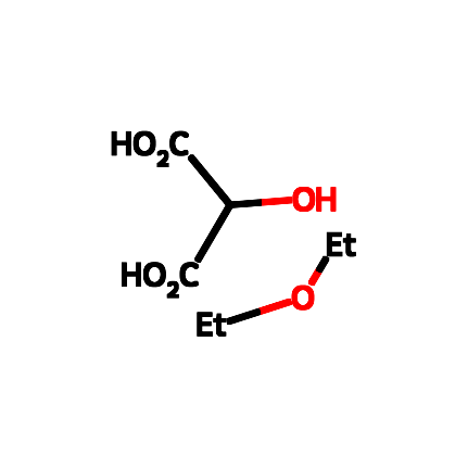 CCOCC.O=C(O)C(O)C(=O)O